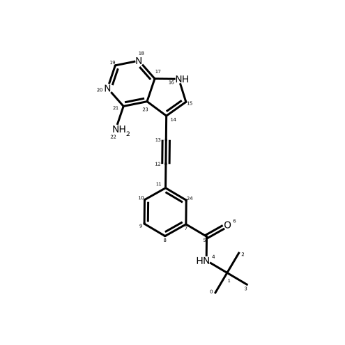 CC(C)(C)NC(=O)c1cccc(C#Cc2c[nH]c3ncnc(N)c23)c1